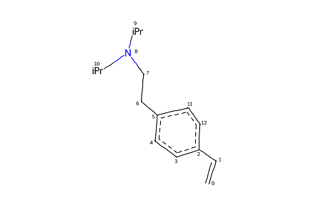 C=Cc1ccc(CCN(C(C)C)C(C)C)cc1